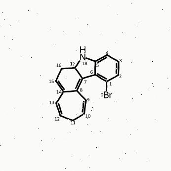 Brc1cccc2c1C1=C3C=CCC=CC3=CCC1N2